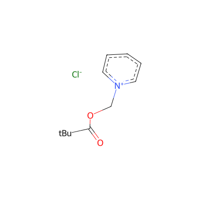 CC(C)(C)C(=O)OC[n+]1ccccc1.[Cl-]